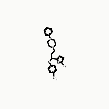 FC(F)(F)c1ccc(OC(CCN2CCN(c3ccccc3)CC2)c2ccc(Br)s2)cc1